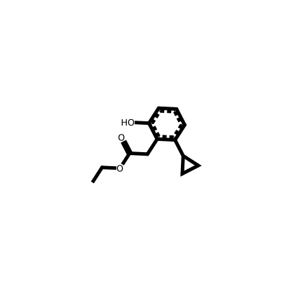 CCOC(=O)Cc1c(O)cccc1C1CC1